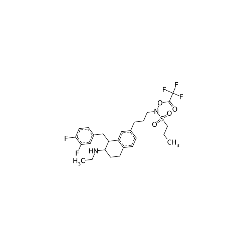 CCCS(=O)(=O)N(CCCc1ccc2c(c1)C(Cc1ccc(F)c(F)c1)C(NCC)CC2)OC(=O)C(F)(F)F